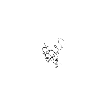 C=C[C@@]1(C)CC(=O)[C@@]2(O)[C@](C)(O1)[C@@H](OC(=O)CN1CCCCC1)C=C1C(C)(C)CC[C@H](O)[C@@]12C